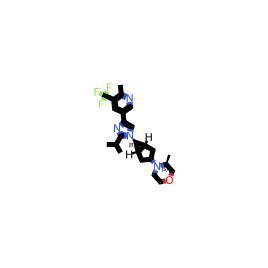 Cc1ncc(-c2cn([C@H]3[C@@H]4CC(N5CCOC[C@@H]5C)C[C@@H]43)c(C(C)C)n2)cc1C(F)(F)F